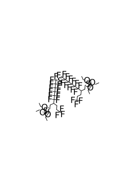 CCO[Si](CCC(CCC(F)(F)F)C(F)(F)C(F)(F)C(F)(F)C(F)(F)C(F)(F)C(F)(F)SC(F)(F)C(F)(F)C(F)(F)C(F)(F)C(F)(F)C(F)(F)C(CCC(F)(F)F)CC[Si](OCC)(OCC)OCC)(OCC)OCC